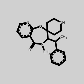 CC(c1ccccc1)C1N(C)C(=O)c2cccnc2OC12CCNCC2